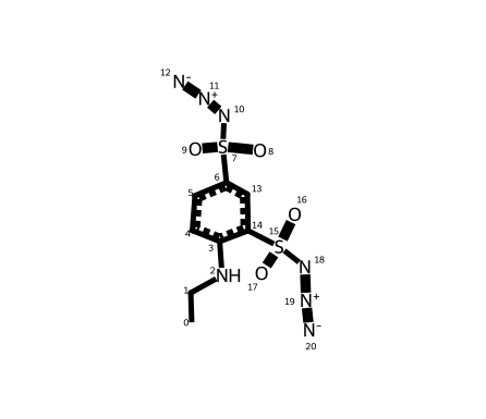 CCNc1ccc(S(=O)(=O)N=[N+]=[N-])cc1S(=O)(=O)N=[N+]=[N-]